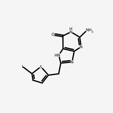 Nc1nc2nc(Cc3ccc(I)s3)[nH]c2c(=O)[nH]1